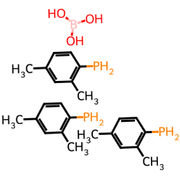 Cc1ccc(P)c(C)c1.Cc1ccc(P)c(C)c1.Cc1ccc(P)c(C)c1.OB(O)O